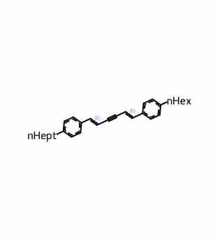 CCCCCCCc1ccc(/C=C/C#C/C=C/c2ccc(CCCCCC)cc2)cc1